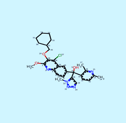 COc1nc2ccc(C(O)(c3ccc(C)nc3C)c3cnnn3C)cc2c(Cl)c1OCC1CCCCC1